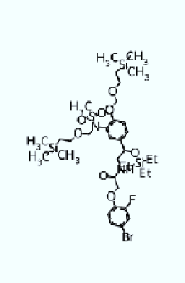 CC[Si](CC)(CC)OC(CNC(=O)COc1ccc(Br)cc1F)c1ccc(OCOCC[Si](C)(C)C)c(N(COCC[Si](C)(C)C)S(C)(=O)=O)c1